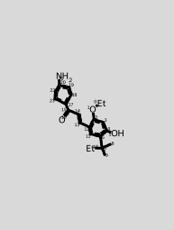 CCOc1cc(O)c(C(C)(C)CC)cc1/C=C/C(=O)c1ccc(N)cc1